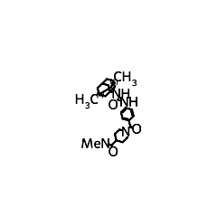 CNC(=O)C1CCN(C(=O)c2ccc(NC(=O)NC34CC5C[C@@](C)(C3)C[C@](C)(C5)C4)cc2)CC1